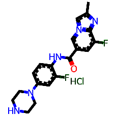 Cc1cn2cc(C(=O)Nc3ccc(N4CCNCC4)cc3F)cc(F)c2n1.Cl